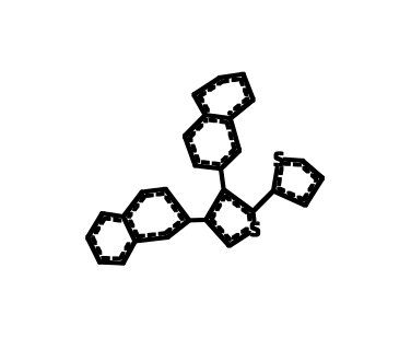 c1csc(-c2scc(-c3ccc4ccccc4c3)c2-c2ccc3ccccc3c2)c1